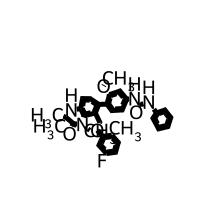 COc1cc(NC(=O)Nc2ccccc2)ccc1-c1ccc2c(c1COc1cc(F)ccc1C)N(C)C(=O)C(C)(C)N2